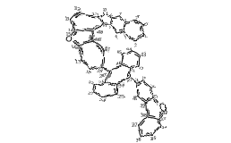 c1ccc2cc3c(cc2c1)oc1ccc2oc4ccc(-c5c6ccccc6c(-c6ccc7oc8ccccc8c7c6)c6ccccc56)cc4c2c13